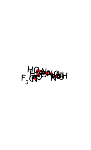 CC(C)(O)c1cc2nc(C3CCN(Cc4ccnc(C5CCC(=O)NC5=O)c4)CC3)oc2cc1NC(=O)c1ccc(C(F)(F)F)nc1